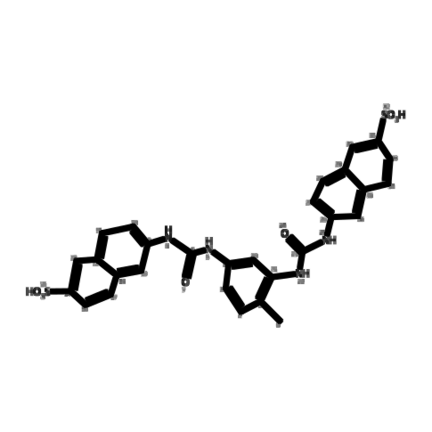 Cc1ccc(NC(=O)Nc2ccc3cc(S(=O)(=O)O)ccc3c2)cc1NC(=O)Nc1ccc2cc(S(=O)(=O)O)ccc2c1